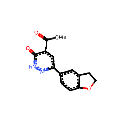 COC(=O)c1cc(-c2ccc3c(c2)CCO3)n[nH]c1=O